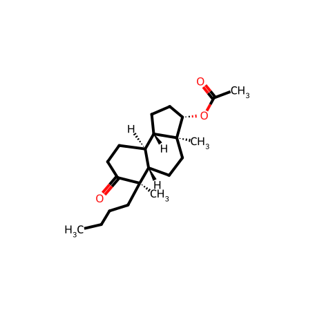 CCCC[C@@]1(C)C(=O)CC[C@H]2[C@@H]3CC[C@H](OC(C)=O)[C@@]3(C)CC[C@@H]21